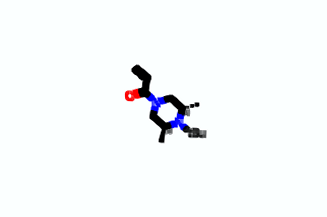 C=CC(=O)N1C[C@H](C)N(C(C)(C)C)[C@@H](C)C1